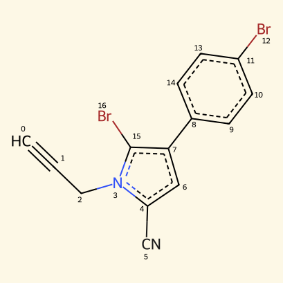 C#CCn1c(C#N)cc(-c2ccc(Br)cc2)c1Br